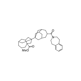 COC(=O)C12CCCC3CC1CC(C14CC5CC(C(=O)N6CCc7ccccc7CC6)CC(C1)C(C5)C4)(C3)C2